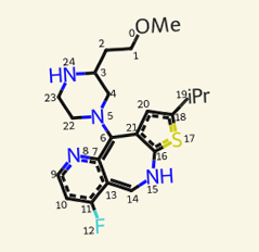 COCCC1CN(C2=c3nccc(F)c3=CNc3sc(C(C)C)cc32)CCN1